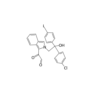 O=CC(=O)c1c2ccccc2cn1CC(O)(c1ccc(Cl)cc1)c1ccc(I)cc1